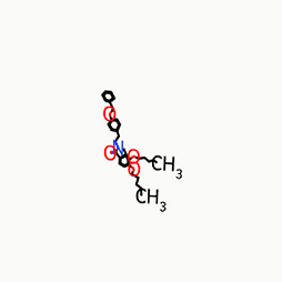 CCCCCOc1ccc2c(c1OCCCCC)CN(CCc1ccc(OCc3ccccc3)cc1)C2=O